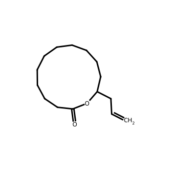 C=CCC1CCCCCCCCCCC(=O)O1